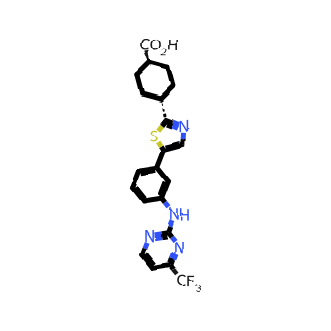 O=C(O)[C@H]1CC[C@H](c2ncc(-c3cccc(Nc4nccc(C(F)(F)F)n4)c3)s2)CC1